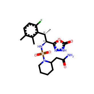 Cc1ccc(F)c([C@H](C)[C@H](NS(=O)(=O)N2CCCCC2CC(N)=O)c2n[nH]c(=O)o2)c1C